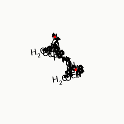 C=CC(=O)N1CCN(c2nc(OCC3(CN4CC(c5cc(F)c(Cl)c6c(N7CCc8c(nc(OCC9(CN%10CCC%10)CC9)nc8N8CCN(C(=O)C=C)[C@@H](CC#N)C8)C7)cccc56)C4)CC3)nc3c2CCN(c2cccc4ccc(F)c(Cl)c24)C3)CC1CC#N